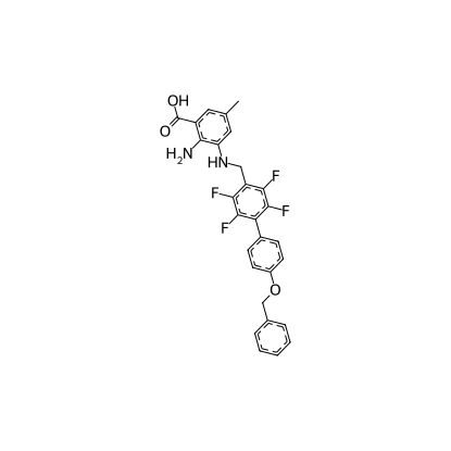 Cc1cc(NCc2c(F)c(F)c(-c3ccc(OCc4ccccc4)cc3)c(F)c2F)c(N)c(C(=O)O)c1